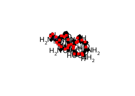 CNC(=O)c1ccccc1Sc1ccc2c(/C=C/c3ccccn3)nn(C(=O)N(CCSSCCN)CCC(=O)N[C@@H](CCN)C(=O)N[C@H](C(=O)N[C@@H](CCN)C(=O)N[C@H]3CCNC(=O)[C@@H]([C@@H](C)O)NC(=O)[C@H](CCN)NC(=O)[C@H](CCN)NC(=O)[C@H](CC(C)C)NC(=O)[C@@H](Cc4ccccc4)NC(=O)[C@H](CCN)NC3=O)[C@@H](C)O)c2c1